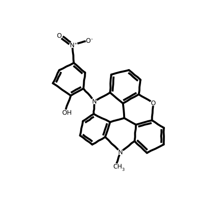 CN1c2cccc3c2C2c4c(cccc4N(c4cc([N+](=O)[O-])ccc4O)c4cccc1c42)O3